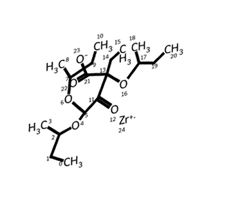 CCC(C)OC(OC(C)CC)C(=O)C(CC)(OC(C)CC)C(=O)[O-].[Zr+]